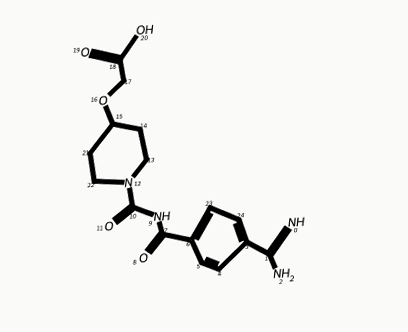 N=C(N)c1ccc(C(=O)NC(=O)N2CCC(OCC(=O)O)CC2)cc1